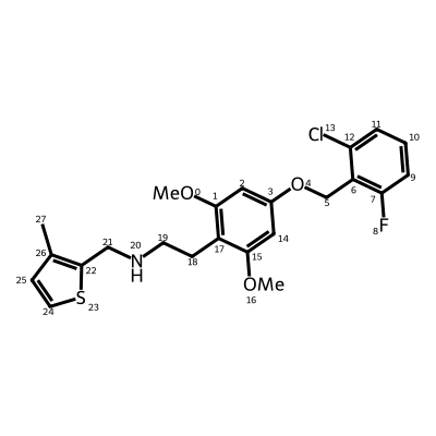 COc1cc(OCc2c(F)cccc2Cl)cc(OC)c1CCNCc1sccc1C